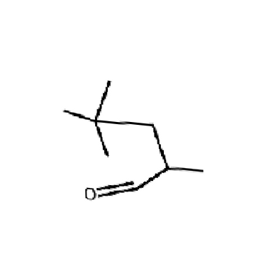 CC(C=O)CC(C)(C)C